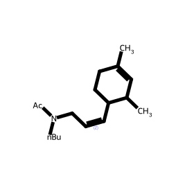 CCCCN(C/C=C\C1CCC(C)=CC1C)C(C)=O